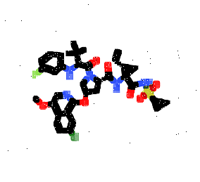 C=C[C@@H]1C[C@]1(NC(=O)[C@@H]1C[C@@H](Oc2ncc(OC)c3ccc(Cl)cc23)CN1C(=O)[C@@H](Nc1cccc(F)c1)C(C)(C)C)C(=O)NS(=O)(=O)C1CC1